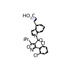 CC(C)c1onc(-c2c(Cl)cccc2Cl)c1C(=O)n1ccc2c(/C=C/C(=O)O)cccc21